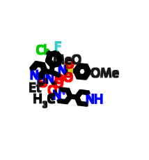 CCOc1ncccc1C1(NC(=O)O[N+]2(C)CCC(C3CCNCC3)CC2)C(=O)N(S(=O)(=O)c2ccc(OC)cc2OC)c2cc(F)c(Cl)cc21